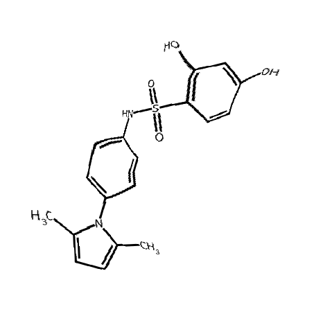 Cc1ccc(C)n1-c1ccc(NS(=O)(=O)c2ccc(O)cc2O)cc1